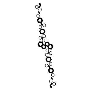 C=CC(=O)OCCOc1ccc(C(=O)OC2CCC(OC(=O)Oc3cccc4c3C3(CC4)CCc4cccc(OC(=O)OC5CCC(OC(=O)c6ccc(OCCOC(=O)C=C)cc6)CC5)c43)CC2)cc1